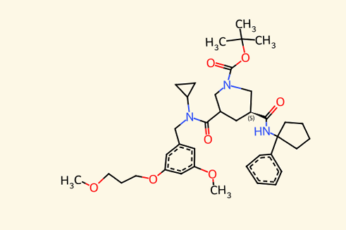 COCCCOc1cc(CN(C(=O)C2C[C@H](C(=O)NC3(c4ccccc4)CCCC3)CN(C(=O)OC(C)(C)C)C2)C2CC2)cc(OC)c1